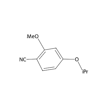 COc1cc(OC(C)C)ccc1C#N